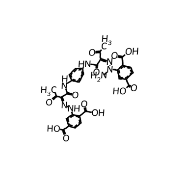 CC(=O)/C(=N/Nc1cc(C(=O)O)ccc1C(=O)O)C(=O)Nc1ccc(NC(=O)/C(=N\N(N)c2cc(C(=O)O)ccc2C(=O)O)C(C)=O)cc1